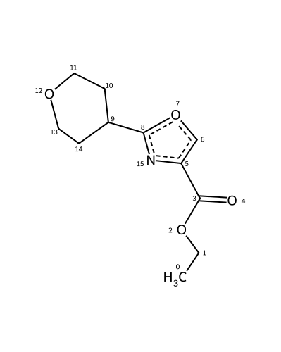 CCOC(=O)c1coc(C2CCOCC2)n1